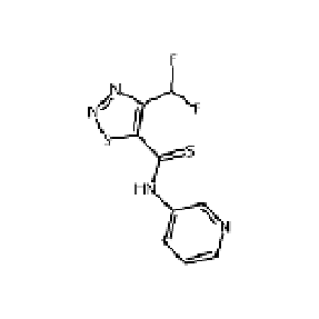 FC(F)c1nnsc1C(=S)Nc1cccnc1